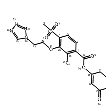 CS(=O)(=O)c1ccc(C(=O)OC2=CC(=O)CCC2)c(Cl)c1OCCn1cnnn1